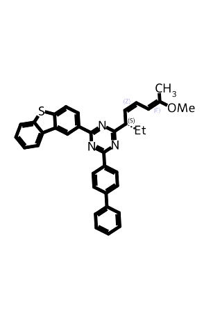 CC[C@@H](/C=C\C=C(/C)OC)c1nc(-c2ccc(-c3ccccc3)cc2)nc(-c2ccc3sc4ccccc4c3c2)n1